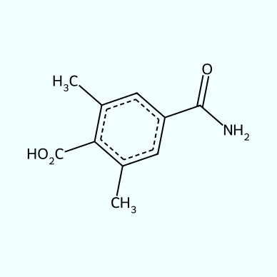 Cc1cc(C(N)=O)cc(C)c1C(=O)O